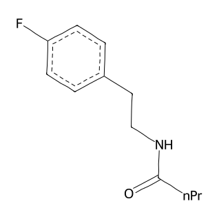 CCCC(=O)NCCc1ccc(F)cc1